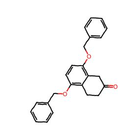 O=C1CCc2c(OCc3ccccc3)ccc(OCc3ccccc3)c2C1